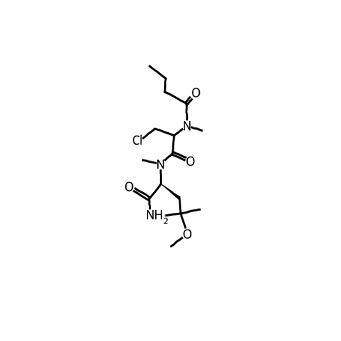 CCCC(=O)N(C)C(CCl)C(=O)N(C)[C@@H](CC(C)(C)OC)C(N)=O